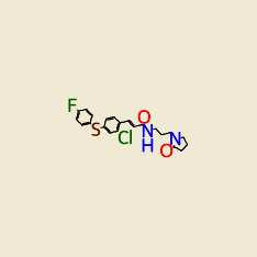 O=C(/C=C/c1ccc(Sc2ccc(F)cc2)cc1Cl)NCCCN1CCCC1=O